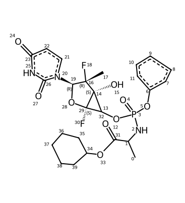 CC(NP(=O)(Oc1ccccc1)OC1[C@]2(O)[C@@](C)(F)[C@H](n3ccc(=O)[nH]c3=O)O[C@]12F)C(=O)OC1CCCCC1